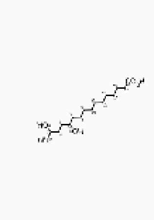 CCCC(O)CCC(O)CCCCCCCCCCC(=O)O